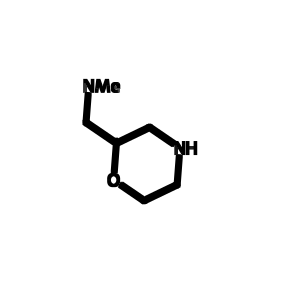 CNC[C]1CNCCO1